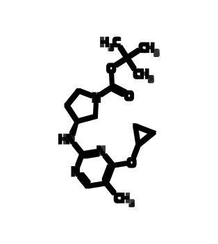 Cc1cnc(N[C@H]2CCN(C(=O)OC(C)(C)C)C2)nc1OC1CC1